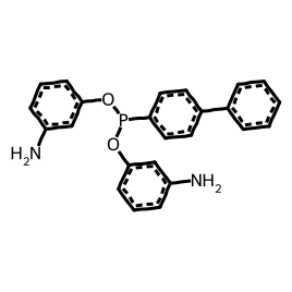 Nc1cccc(OP(Oc2cccc(N)c2)c2ccc(-c3ccccc3)cc2)c1